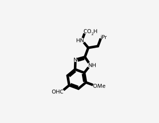 COc1cc(C=O)cc2nc(C(CC(C)C)NC(=O)O)[nH]c12